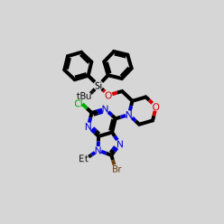 CCn1c(Br)nc2c(N3CCOCC3CO[Si](c3ccccc3)(c3ccccc3)C(C)(C)C)nc(Cl)nc21